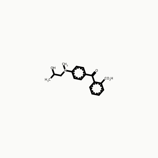 CC(O)CN(C)c1ccc(C(=O)c2ccccc2C(=O)O)cc1